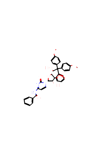 COc1ccc(C(c2ccccc2)(c2ccc(OC)cc2)C(O)[C@H]2O[C@@H](n3ccc(NC(=O)c4ccccc4)nc3=O)[C@H](O)[C@@H]2O)cc1